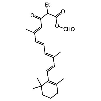 CCC(C(=O)C=C(C)C=CC=C(C)C=CC1=C(C)CCCC1(C)C)C(=O)OC=O